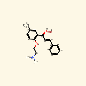 Br.CCN(CC)CCOc1ccc([N+](=O)[O-])cc1C(=O)/C=C/c1ccccc1